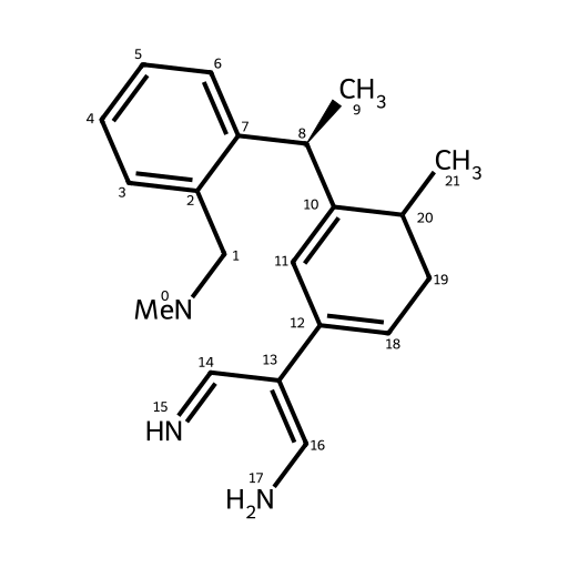 CNCc1ccccc1[C@@H](C)C1=CC(/C(C=N)=C/N)=CCC1C